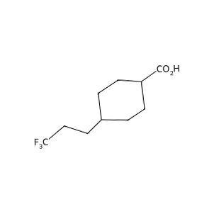 O=C(O)C1CCC(CCC(F)(F)F)CC1